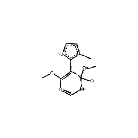 COC1=C(c2[nH]ccc2C)C(Cl)(OC)NC=N1